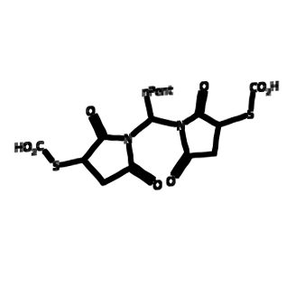 CCCCCC(N1C(=O)CC(SC(=O)O)C1=O)N1C(=O)CC(SC(=O)O)C1=O